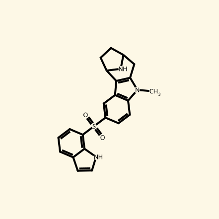 Cn1c2c(c3cc(S(=O)(=O)c4cccc5cc[nH]c45)ccc31)C1CCC(C2)N1